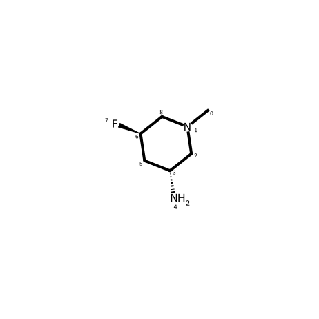 CN1C[C@H](N)C[C@@H](F)C1